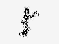 CC(N)C(=O)Oc1cc(N2CC(CNC(=O)c3ccc(Cl)s3)OC2=O)ccc1N1CCCC1